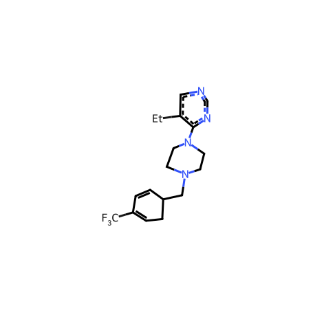 CCc1cncnc1N1CCN(CC2C=CC(C(F)(F)F)=CC2)CC1